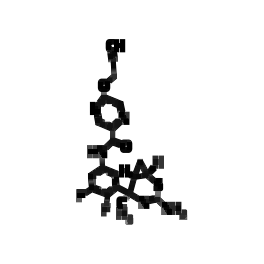 C#CCOc1cnc(C(=O)Nc2cc(F)c(F)c([C@]3(C)N=C(N)S[C@H]4C[C@H]43)c2)cn1